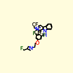 C[N+]1(CC(F)(F)F)CCc2c([nH]c3ccccc23)[C@@H]1c1c(F)cc(OCCN2CC(CF)C2)cc1F